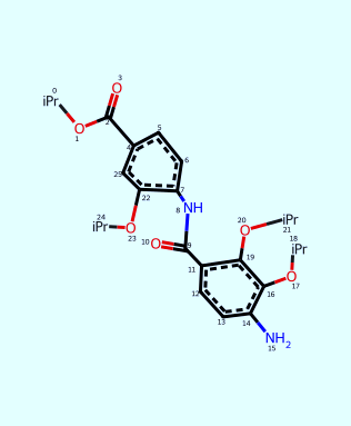 CC(C)OC(=O)c1ccc(NC(=O)c2ccc(N)c(OC(C)C)c2OC(C)C)c(OC(C)C)c1